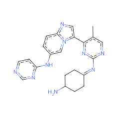 Cc1cnc(N=C2CCC(N)CC2)nc1-c1cnc2ccc(Nc3ccncn3)cn12